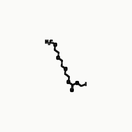 COCCOCCOCCOC(=O)OCI